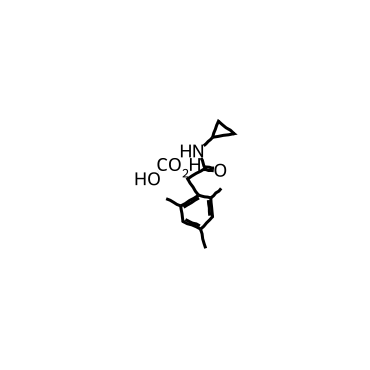 Cc1cc(C)c(CC(=O)NC2CC2)c(C)c1.O=C(O)O